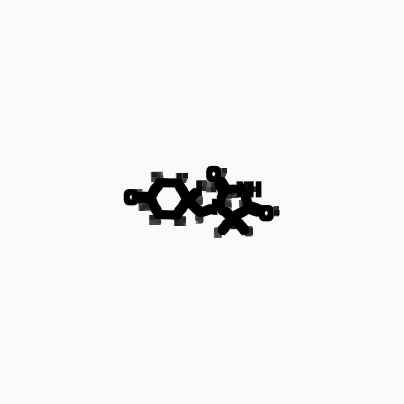 CC1(C)C(=O)NC(=O)N1CC1(F)CCC(=O)CC1